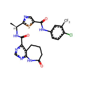 C[C@H](NC(=O)c1ncnc2c1CCCC(=O)N2)c1ncc(C(=O)Nc2ccc(Cl)c(C(F)(F)F)c2)s1